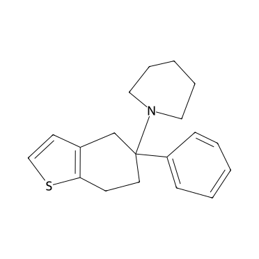 c1ccc(C2(N3CCCCC3)CCc3sccc3C2)cc1